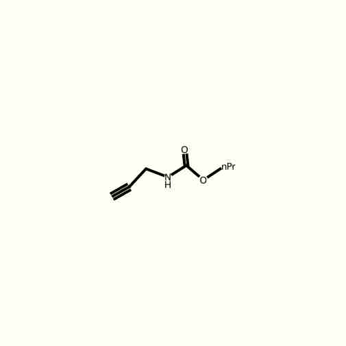 C#CCNC(=O)OCCC